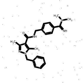 Cc1nn(Cc2ccccc2)c(C)c1C(=O)NCc1ccc(C(=N)N(C)C)cc1